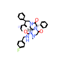 C=C(/C=C\C)C(CN1C[C@H]2N(C(=O)CN(C)N2C(=O)NCc2ccc(F)cc2)[C@@H](c2ccccc2)C1=O)c1ccccc1